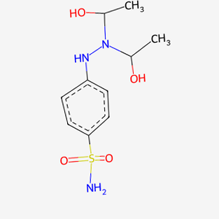 CC(O)N(Nc1ccc(S(N)(=O)=O)cc1)C(C)O